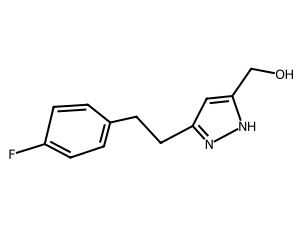 OCc1cc(CCc2ccc(F)cc2)n[nH]1